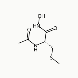 CSC[C@H](NC(C)=O)C(=O)NO